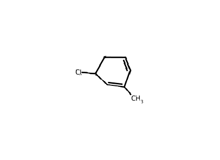 CC1=C[C](Cl)CC=C1